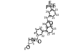 COCCNC(=O)c1cccc(-c2cccc3oc(Cc4cccc(C(F)(F)F)c4)cc23)c1